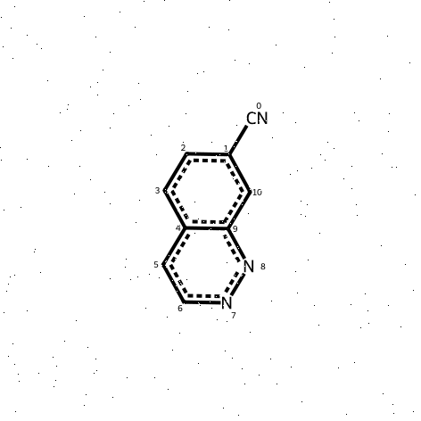 N#Cc1ccc2ccnnc2c1